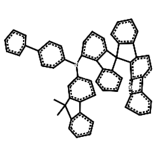 CC1(C)c2ccccc2-c2ccc(N(c3ccc(-c4ccccc4)cc3)c3cccc4c3-c3ccccc3C43c4ccccc4-c4ccc5c(oc6ccccc65)c43)cc21